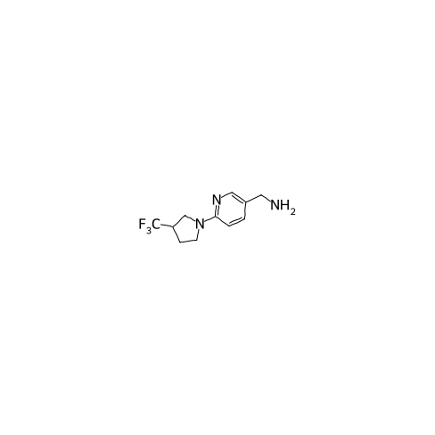 NCc1ccc(N2CCC(C(F)(F)F)C2)nc1